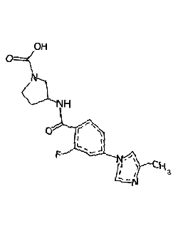 Cc1cn(-c2ccc(C(=O)NC3CCN(C(=O)O)C3)c(F)c2)cn1